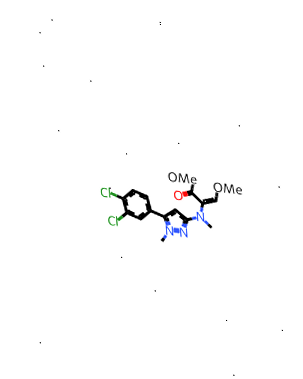 COC=C(C(=O)OC)N(C)c1cc(-c2ccc(Cl)c(Cl)c2)n(C)n1